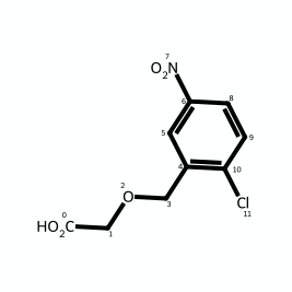 O=C(O)COCc1cc([N+](=O)[O-])ccc1Cl